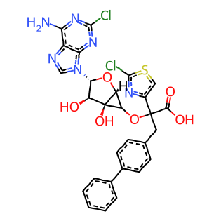 Nc1nc(Cl)nc2c1ncn2[C@@H]1O[C@@H]2C(OC(Cc3ccc(-c4ccccc4)cc3)(C(=O)O)c3csc(Cl)n3)[C@]2(O)[C@H]1O